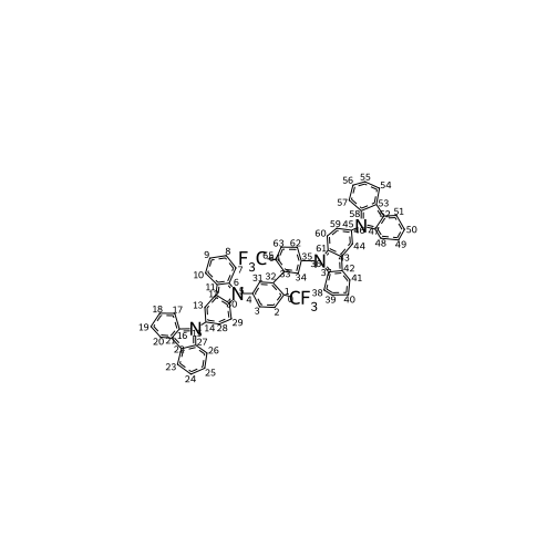 FC(F)(F)c1ccc(-n2c3ccccc3c3cc(-n4c5ccccc5c5ccccc54)ccc32)cc1-c1cc(-n2c3ccccc3c3cc(-n4c5ccccc5c5ccccc54)ccc32)ccc1C(F)(F)F